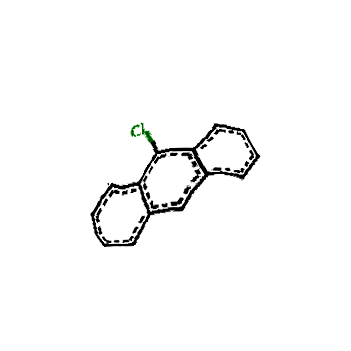 Clc1c2[c]cccc2cc2ccccc12